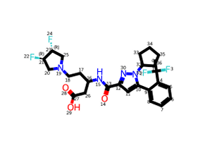 CC(F)(F)c1ccccc1-c1cc(C(=O)NC(CCN2C[C@@H](F)[C@H](F)C2)CC(=O)O)nn1C1CCCC1